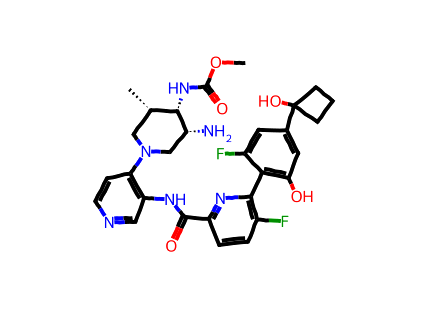 COC(=O)N[C@@H]1[C@H](N)CN(c2ccncc2NC(=O)c2ccc(F)c(-c3c(O)cc(C4(O)CCC4)cc3F)n2)C[C@@H]1C